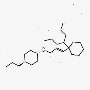 CCCC(CCC)C1(/C=C/CO[C@H]2CC[C@H](CCC)CC2)CCCCC1